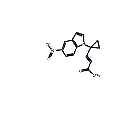 CC(=O)/C=C/C1(n2ccc3cc([N+](=O)[O-])ccc32)CC1